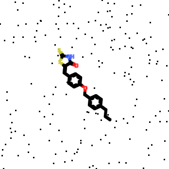 CCCc1ccc(COc2ccc(C=C3SC(=S)NC3=O)cc2)cc1